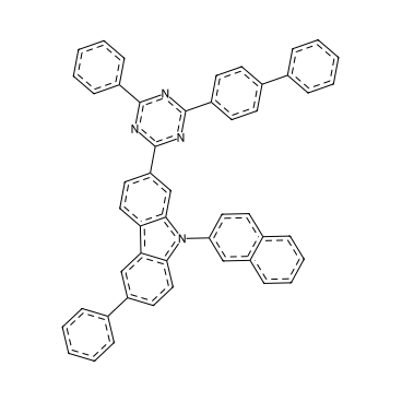 c1ccc(-c2ccc(-c3nc(-c4ccccc4)nc(-c4ccc5c6cc(-c7ccccc7)ccc6n(-c6ccc7ccccc7c6)c5c4)n3)cc2)cc1